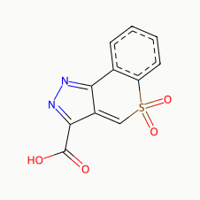 O=C(O)C1=NN=C2C1=CS(=O)(=O)c1ccccc12